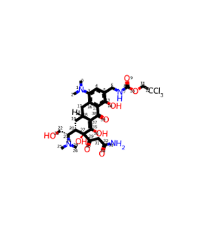 CN(C)c1cc(CNC(=O)OCC(Cl)(Cl)Cl)c(O)c2c1C[C@H]1C[C@@H]([C@@H](CO)N(C)C)[C@@](O)(C(=O)CC(N)=O)C(O)=C1C2=O